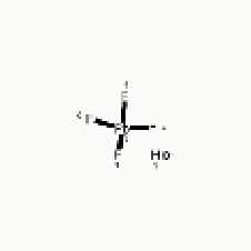 [F][Pb]([F])([F])[F].[Ho]